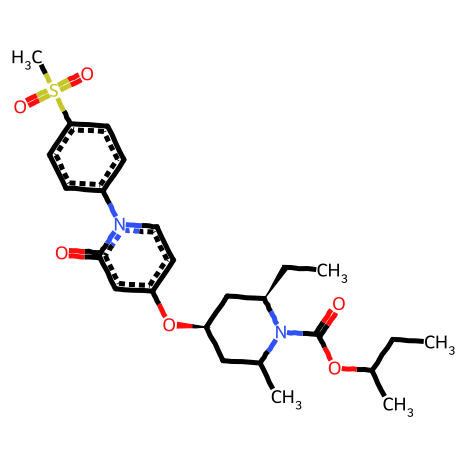 CCC(C)OC(=O)N1C(C)C[C@@H](Oc2ccn(-c3ccc(S(C)(=O)=O)cc3)c(=O)c2)C[C@H]1CC